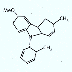 COC1C=C2C(=CC1)N(C1C=CC=CC1C)C1C=CC(C)CC21